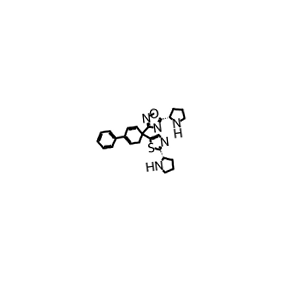 C1=CC(c2noc([C@@H]3CCCN3)n2)(c2cnc([C@@H]3CCCN3)s2)CC=C1c1ccccc1